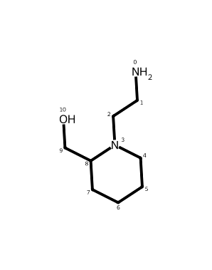 NCCN1CCCCC1CO